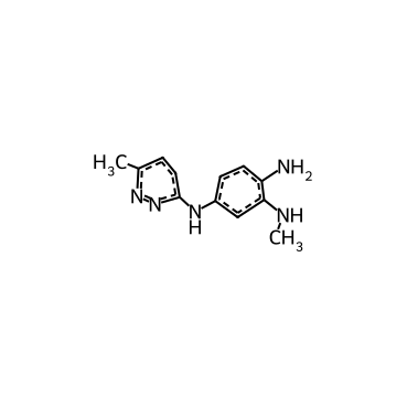 CNc1cc(Nc2ccc(C)nn2)ccc1N